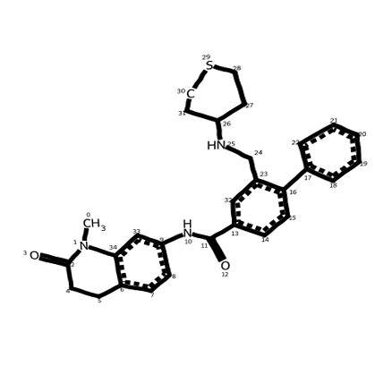 CN1C(=O)CCc2ccc(NC(=O)c3ccc(-c4ccccc4)c(CNC4CCSCC4)c3)cc21